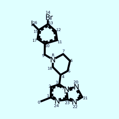 Cc1cc(C2CCCN(Cc3ccc(Br)c(I)c3)C2)n2ncnc2n1